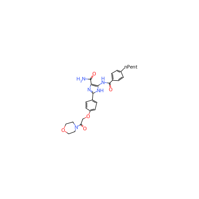 CCCCCc1ccc(C(=O)Nc2[nH]c(-c3ccc(OCC(=O)N4CCOCC4)cc3)nc2C(N)=O)cc1